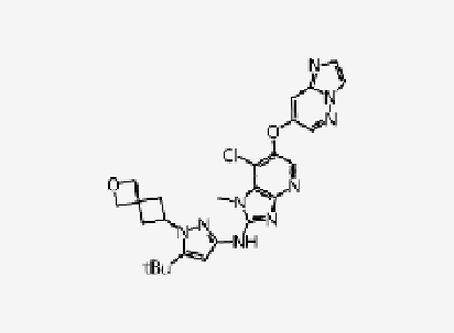 Cn1c(Nc2cc(C(C)(C)C)n(C3CC4(COC4)C3)n2)nc2ncc(Oc3cnn4ccnc4c3)c(Cl)c21